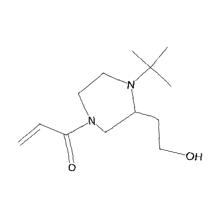 C=CC(=O)N1CCN(C(C)(C)C)C(CCO)C1